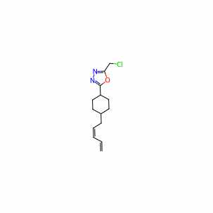 C=C/C=C\CC1CCC(c2nnc(CCl)o2)CC1